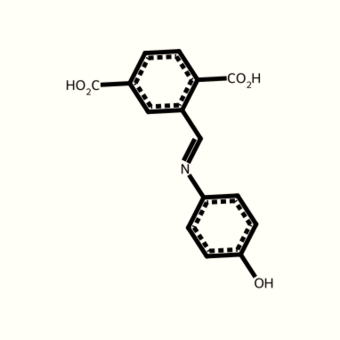 O=C(O)c1ccc(C(=O)O)c(/C=N/c2ccc(O)cc2)c1